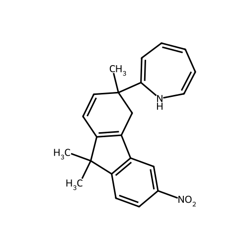 CC1(C2=CC=CC=CN2)C=CC2=C(C1)c1cc([N+](=O)[O-])ccc1C2(C)C